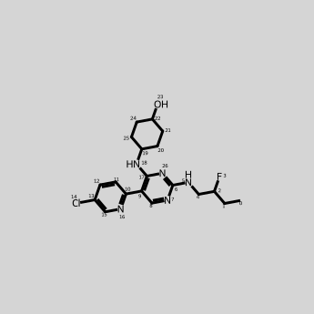 CCC(F)CNc1ncc(-c2ccc(Cl)cn2)c(NC2CCC(O)CC2)n1